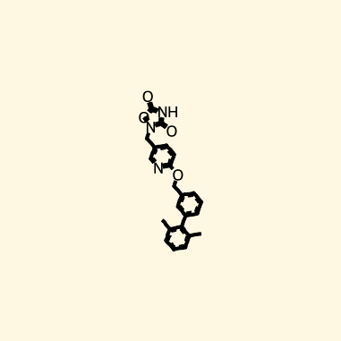 Cc1cccc(C)c1-c1cccc(COc2ccc(Cn3oc(=O)[nH]c3=O)cn2)c1